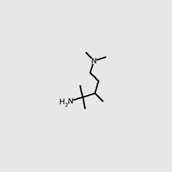 CC(CCN(C)C)C(C)(C)N